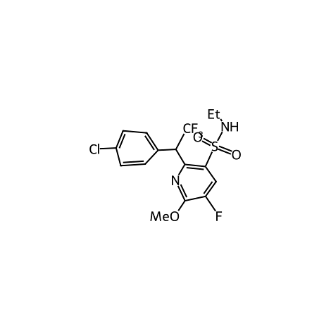 CCNS(=O)(=O)c1cc(F)c(OC)nc1C(c1ccc(Cl)cc1)C(F)(F)F